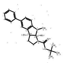 CN1c2ccc(-c3ccccc3)cc2[C@]2(F)CCN(C(=O)OC(C)(C)C)[C@H]12